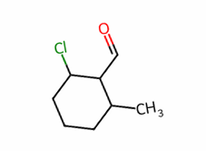 CC1CCCC(Cl)C1C=O